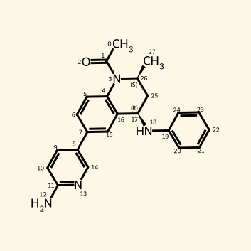 CC(=O)N1c2ccc(-c3ccc(N)nc3)cc2[C@H](Nc2ccccc2)C[C@@H]1C